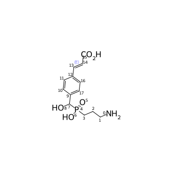 NCCCP(=O)(O)C(O)c1ccc(/C=C/C(=O)O)cc1